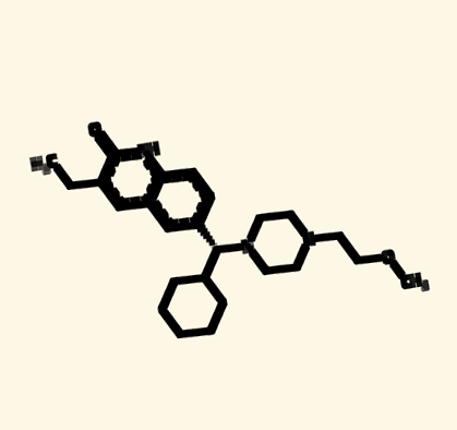 CCc1cc2cc([C@@H](C3CCCCC3)N3CCN(CCOC)CC3)ccc2[nH]c1=O